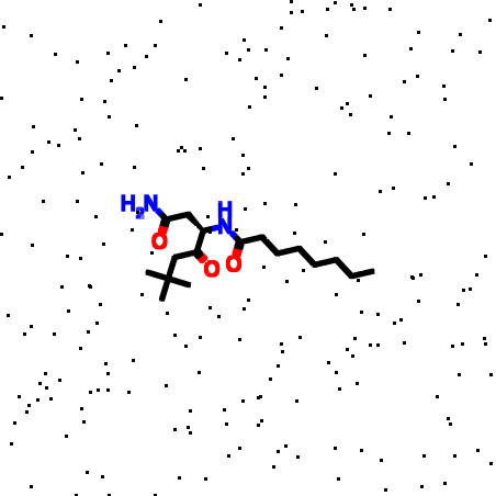 CCCCCCCC(=O)N[C@H](CC(N)=O)C(=O)CC(C)(C)C